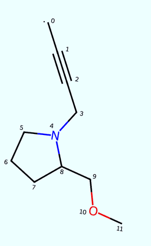 [CH2]C#CCN1CCCC1COC